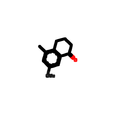 COc1cc(C)c2c(c1)C(=O)CCC2